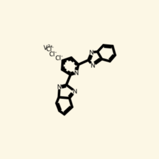 C1=CC2=NC(c3cccc(C4=NC5C=CC=CC5=N4)n3)=NC2C=C1.[Cl-].[Cl-].[Cl-].[V+3]